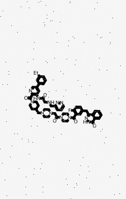 CCc1cccc(-c2cnc(C(=O)N3CCC(CN4CCN(CC(=O)N5CCN(C(=O)c6cc(Cc7n[nH]c(=O)c8ccccc78)ccc6F)CC5)CC4)CC3)c(NC(=O)CNCc3cccnn3)c2)c1